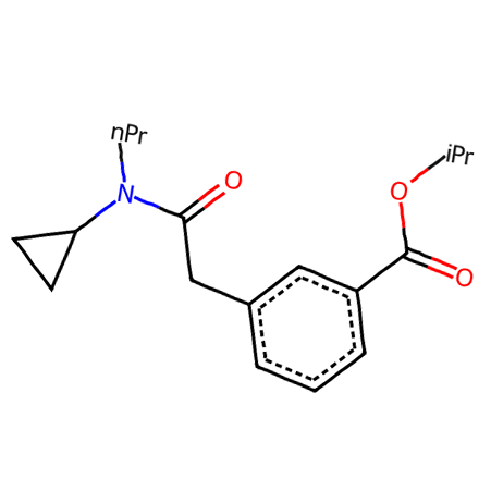 CCCN(C(=O)Cc1cccc(C(=O)OC(C)C)c1)C1CC1